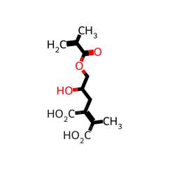 C=C(C)C(=O)OCC(O)C/C(C(=O)O)=C(\C)C(=O)O